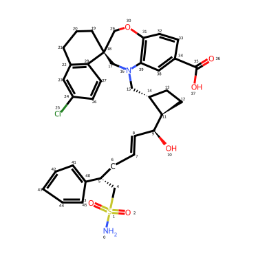 NS(=O)(=O)C[C@@H](C/C=C/[C@H](O)[C@@H]1CC[C@H]1CN1C[C@@]2(CCCc3cc(Cl)ccc32)COc2ccc(C(=O)O)cc21)c1ccccc1